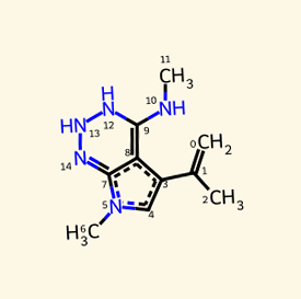 C=C(C)c1cn(C)c2c1=C(NC)NNN=2